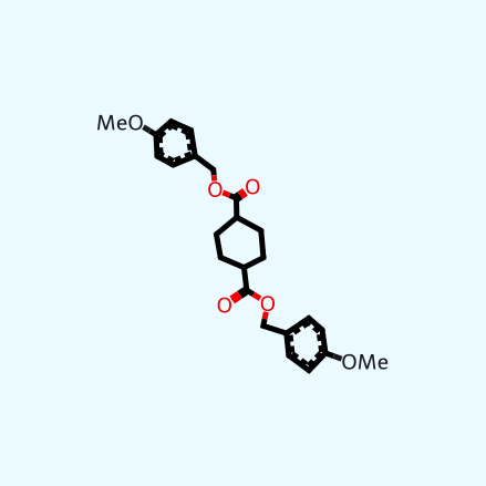 COc1ccc(COC(=O)C2CCC(C(=O)OCc3ccc(OC)cc3)CC2)cc1